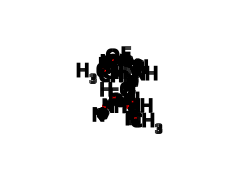 CN(Cc1cc(-c2ccc(CNCc3cccnc3)c(F)c2)c2nc(-c3cnn(C)c3)[nH]c2n1)c1ccc(-c2nc3c(-c4ccc(CNC(=O)c5nnc(C(C)(C)C)o5)c(F)c4)ccnc3[nH]2)nc1